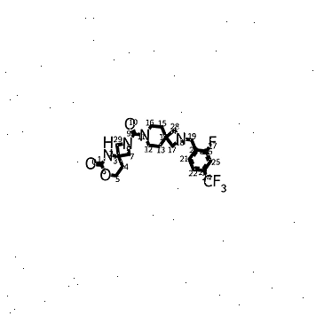 O=C1NC2(CCO1)CN(C(=O)N1CCC3(CC1)CN(Cc1ccc(C(F)(F)F)cc1F)C3)C2